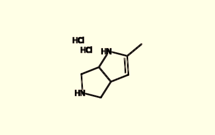 CC1=CC2CNCC2N1.Cl.Cl